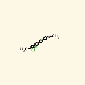 CCCCCC1CCC(C2CCC(C3CC=C(c4ccc(CCC)c(Cl)c4F)CC3)CC2)CC1